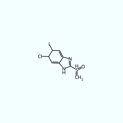 C=[SH](=O)c1nc2c([nH]1)=CC(Cl)C(I)C=2